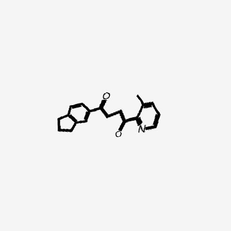 Cc1cccnc1C(=O)CCC(=O)c1ccc2c(c1)CCC2